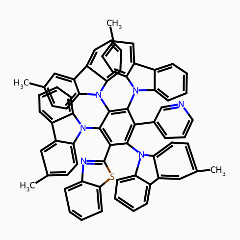 Cc1ccc2c(c1)c1ccccc1n2-c1c(-c2cccnc2)c(-n2c3ccccc3c3cc(C)ccc32)c(-n2c3ccccc3c3cc(C)ccc32)c(-n2c3ccccc3c3cc(C)ccc32)c1-c1nc2ccccc2s1